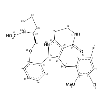 COc1c(Cl)cc(F)cc1Nc1c(-c2ccncc2OC[C@@H]2CCCN2C(=O)O)[nH]c2c1C(=O)NCC2